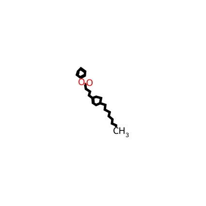 CCCCCCCCC1CC=C(CCCC(=O)Oc2ccccc2)CC1